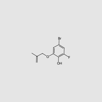 C=C(C)COc1cc(Br)cc(F)c1O